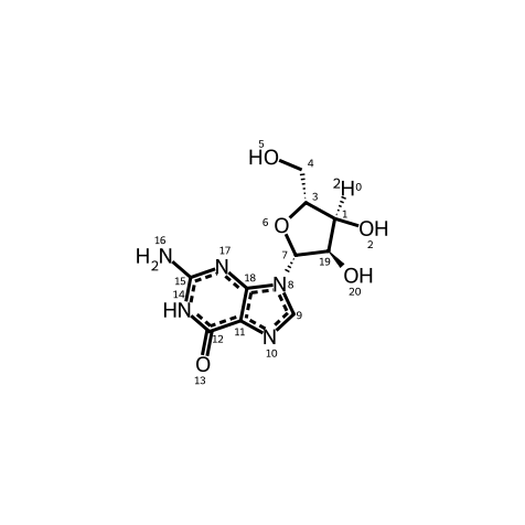 [2H][C@@]1(O)[C@@H](CO)O[C@@H](n2cnc3c(=O)[nH]c(N)nc32)[C@@H]1O